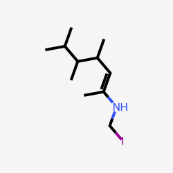 C/C(=C\C(C)C(C)C(C)C)NCI